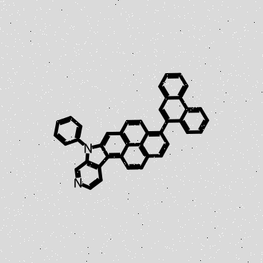 c1ccc(-n2c3cnccc3c3c4ccc5ccc(-c6cc7ccccc7c7ccccc67)c6ccc(cc32)c4c56)cc1